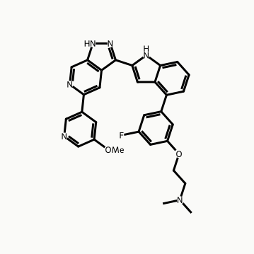 COc1cncc(-c2cc3c(-c4cc5c(-c6cc(F)cc(OCCN(C)C)c6)cccc5[nH]4)n[nH]c3cn2)c1